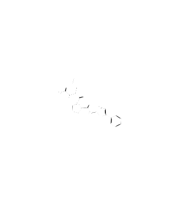 CCCCC(C(=O)N1CCCC1C(=O)NN1NC=C(c2ccccc2)S1)C(F)C(=O)NO